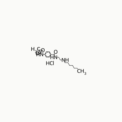 CCCCCCCNCCNC(=O)c1ccc(NS(C)(=O)=O)cc1.Cl